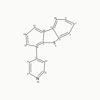 [c]1ccc2sc3c(-c4ccncc4)cccc3c2c1